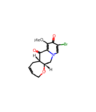 COc1c2n(cc(Br)c1=O)C[C@@H]1OCC=CC[C@@H]1C2=O